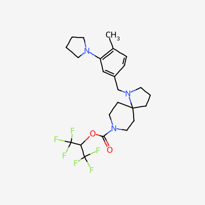 Cc1ccc(CN2CCCC23CCN(C(=O)OC(C(F)(F)F)C(F)(F)F)CC3)cc1N1CCCC1